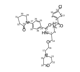 O=C(NC(CNC(=O)c1ccc(Cl)s1)COCCN1CCOCC1)c1ccc(N2CCCCC2=O)cc1